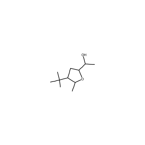 CC(O)C1CC(C(C)(C)C)C(C)O1